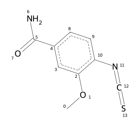 COc1cc(C(N)=O)ccc1N=C=S